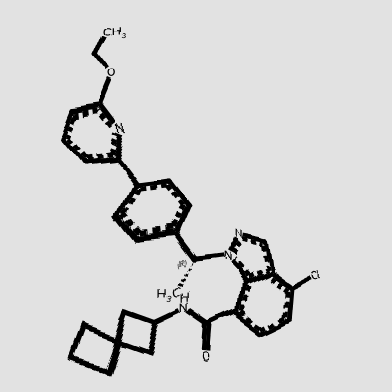 CCOc1cccc(-c2ccc([C@@H](C)n3ncc4c(Cl)ccc(C(=O)NC5CC6(CCC6)C5)c43)cc2)n1